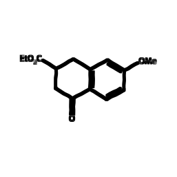 CCOC(=O)C1CC(=O)c2ccc(OC)cc2C1